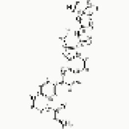 C=CC(=O)N1CCOc2ccc(-c3ncc4c(n3)-c3[nH]c5c(c3CC4)C(=O)N(C(=O)OC(C)(C)C)CC5)cc21